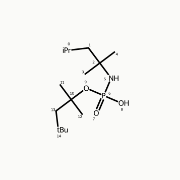 CC(C)CC(C)(C)NP(=O)(O)OC(C)(C)CC(C)(C)C